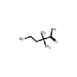 CCCC(C)(C)C(N)=O